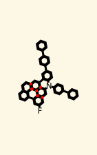 Fc1cccc(-c2cccc3cccc(-c4cccc(N(c5ccc(-c6ccccc6)cc5)c5ccc(-c6ccc(-c7ccccc7)cc6)cc5-c5ccccc5)c4)c23)c1